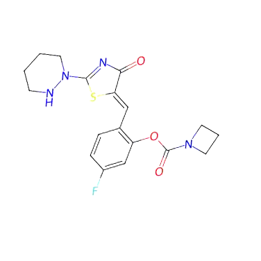 O=C1N=C(N2CCCCN2)S/C1=C\c1ccc(F)cc1OC(=O)N1CCC1